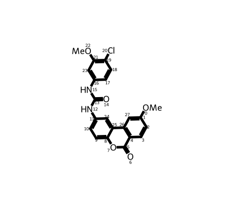 COc1ccc2c(=O)oc3ccc(NC(=O)Nc4ccc(Cl)c(OC)c4)cc3c2c1